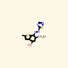 CCOC(=O)c1cc(O)c2cc(C)sc2c1N=Nc1ncns1